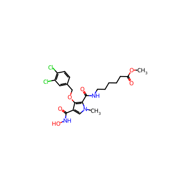 COC(=O)CCCCCNC(=O)c1c(OCc2ccc(Cl)c(Cl)c2)c(C(=O)NO)cn1C